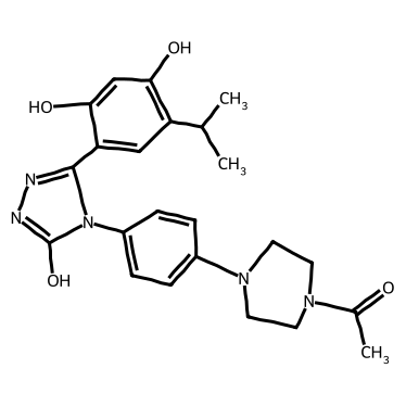 CC(=O)N1CCN(c2ccc(-n3c(O)nnc3-c3cc(C(C)C)c(O)cc3O)cc2)CC1